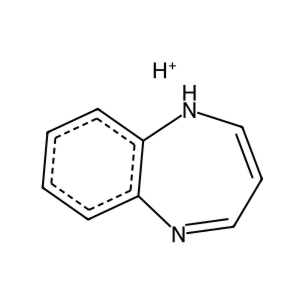 C1=CNc2ccccc2N=C1.[H+]